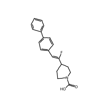 O=C(O)N1CCC(/C(F)=C/c2ccc(-c3ccccc3)cc2)CC1